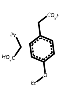 CC(C)CC(=O)O.CCOc1ccc(CC(=O)O)cc1